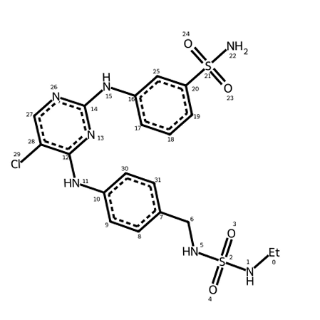 CCNS(=O)(=O)NCc1ccc(Nc2nc(Nc3cccc(S(N)(=O)=O)c3)ncc2Cl)cc1